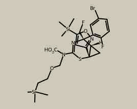 C[Si](C)(C)CCOCN(C(=O)O)C1=N[C@](CF)(c2cc(Br)ccc2F)[C@@H]2C[C@]2(c2cc([Si](C)(C)C)on2)S1